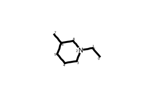 C[CH]N1CCCC(C)C1